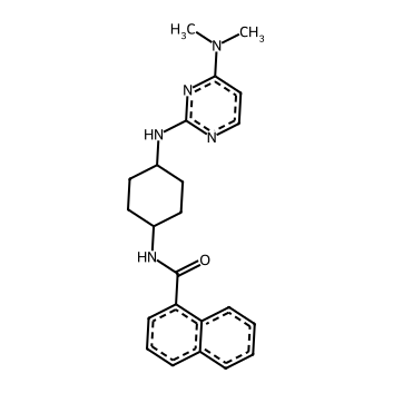 CN(C)c1ccnc(NC2CCC(NC(=O)c3cccc4ccccc34)CC2)n1